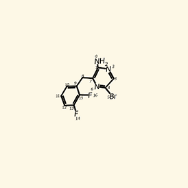 Nc1ncc(Br)nc1Cc1cccc(F)c1F